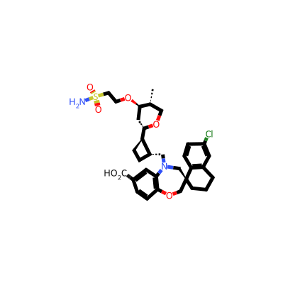 C[C@@H]1CO[C@H]([C@@H]2CC[C@H]2CN2C[C@@]3(CCCc4cc(Cl)ccc43)COc3ccc(C(=O)O)cc32)C[C@H]1OCCS(N)(=O)=O